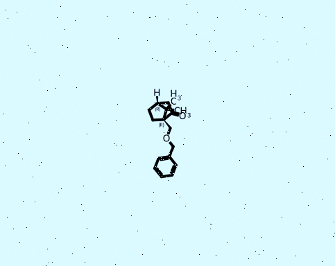 CC1(C)[C@@H]2CC[C@@]1(COCc1ccccc1)C(=O)C2